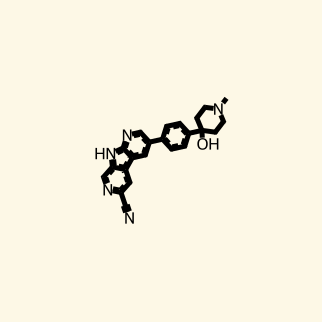 CN1CCC(O)(c2ccc(-c3cnc4[nH]c5cnc(C#N)cc5c4c3)cc2)CC1